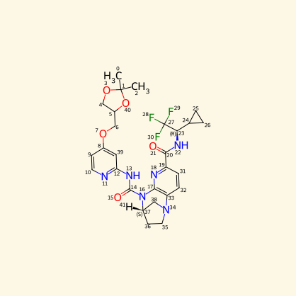 CC1(C)OCC(COc2ccnc(NC(=O)N3c4nc(C(=O)N[C@H](C5CC5)C(F)(F)F)ccc4N4CC[C@H]3C4)c2)O1